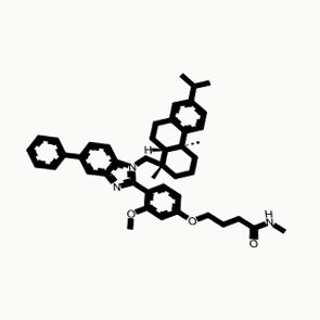 CNC(=O)CCCOc1ccc(-c2nc3cc(-c4ccccc4)ccc3n2C[C@@]2(C)CCC[C@]3(C)c4ccc(C(C)C)cc4CC[C@@H]23)c(OC)c1